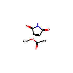 CCCCOC(=O)CCC.O=C1C=CC(=O)N1